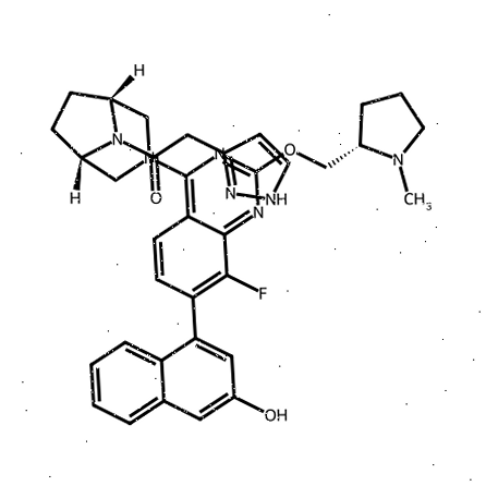 CN1CCC[C@H]1COc1nc(N2C[C@H]3CC[C@@H](C2)N3C(=O)Cc2cc[nH]n2)c2ccc(-c3cc(O)cc4ccccc34)c(F)c2n1